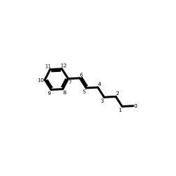 CCCCCC=Cc1ccccc1